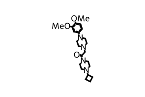 COc1ccc(N2CCN(CC(=O)N3CCN(C4CCC4)CC3)CC2)cc1OC